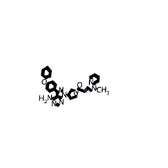 CN(C/C=C/C(=O)N1CC[C@@H](n2nc(-c3ccc(Oc4ccccc4)cc3)c3c(N)ncnc32)C1)c1ccccn1